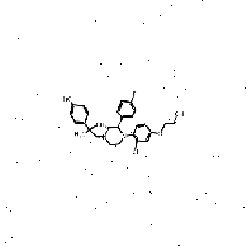 CC(C)(CN1CCN(c2ccc(OCCO)cc2Cl)[C@H](c2ccc(F)cc2)C1)c1ccc(C#N)cc1